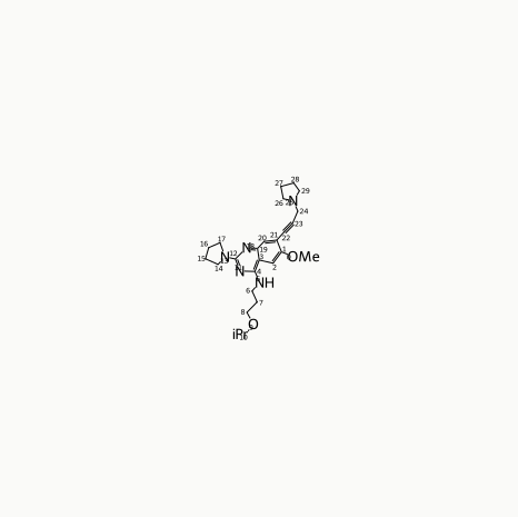 COc1cc2c(NCCCOC(C)C)nc(N3CCCC3)nc2cc1C#CCN1CCCC1